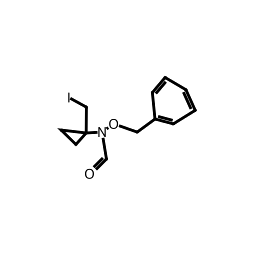 O=CN(OCc1ccccc1)C1(CI)CC1